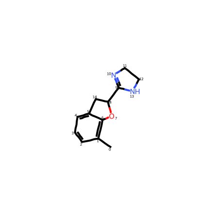 Cc1cccc2c1OC(C1=NCCN1)C2